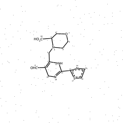 O=CC1=C(CN2CCOCC2C(=O)O)NC(c2nccs2)=NC1